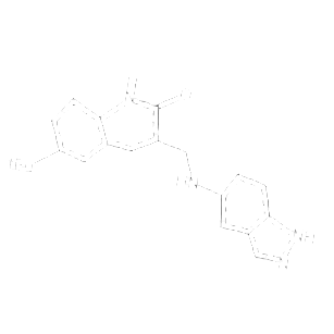 CC(C)(C)c1ccc2[nH]c(=O)c(CNc3ccc4[nH]ncc4c3)cc2c1